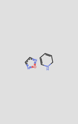 C1=CCNC=C1.c1cnon1